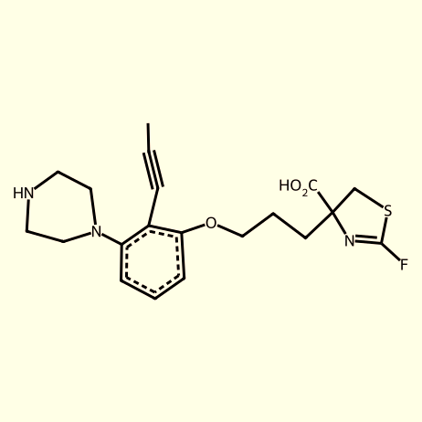 CC#Cc1c(OCCCC2(C(=O)O)CSC(F)=N2)cccc1N1CCNCC1